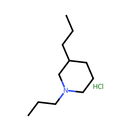 CCCC1CCCN(CCC)C1.Cl